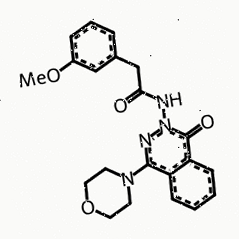 COc1cccc(CC(=O)Nn2nc(N3CCOCC3)c3ccccc3c2=O)c1